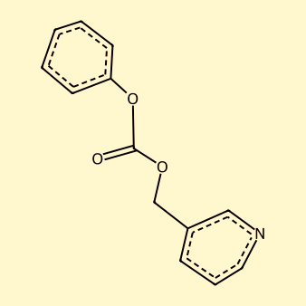 O=C(OCc1cccnc1)Oc1ccccc1